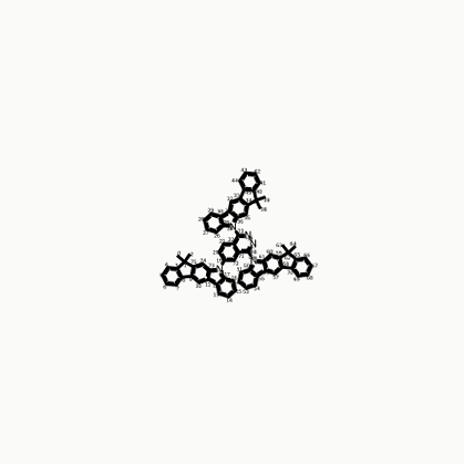 CC1(C)c2ccccc2-c2cc3c4ccccc4n(-c4ccc5c(-n6c7ccccc7c7cc8c(cc76)C(C)(C)c6ccccc6-8)nnc(-n6c7ccccc7c7cc8c(cc76)C(C)(C)c6ccccc6-8)c5c4)c3cc21